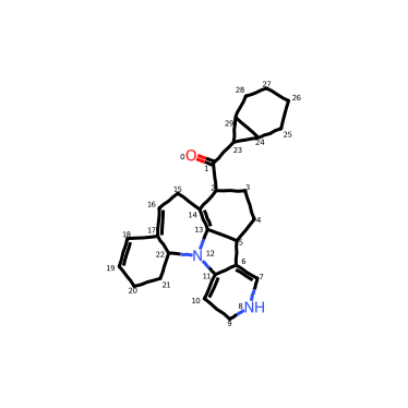 O=C(C1CCC2C3=CNCC=C3N3C2=C1CC=C1C=CCCC13)C1C2CCCCC21